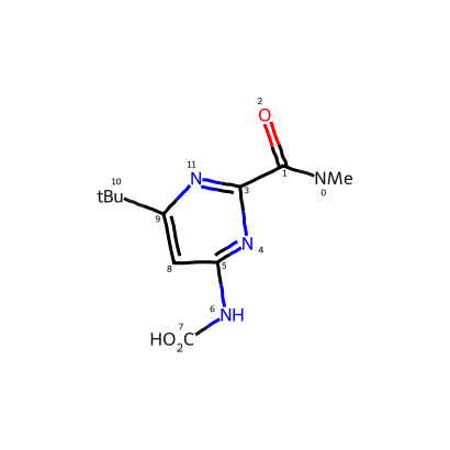 CNC(=O)c1nc(NC(=O)O)cc(C(C)(C)C)n1